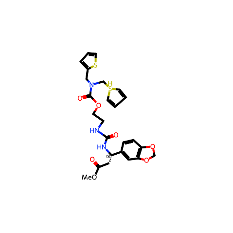 COC(=O)C[C@H](NC(=O)NCCOC(=O)N(Cc1cccs1)C[SH]1C=CC=C1)c1ccc2c(c1)OCO2